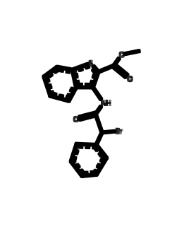 COC(=O)c1sc2ccccc2c1NC(=O)C(Br)c1ccccc1